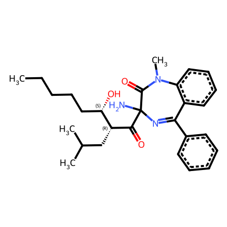 CCCCC[C@H](O)[C@@H](CC(C)C)C(=O)C1(N)N=C(c2ccccc2)c2ccccc2N(C)C1=O